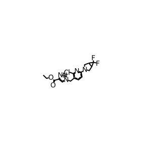 CCOC(=O)c1cn(Cc2ccc(N3CC4C(C3)C4(F)F)nc2Cl)nn1